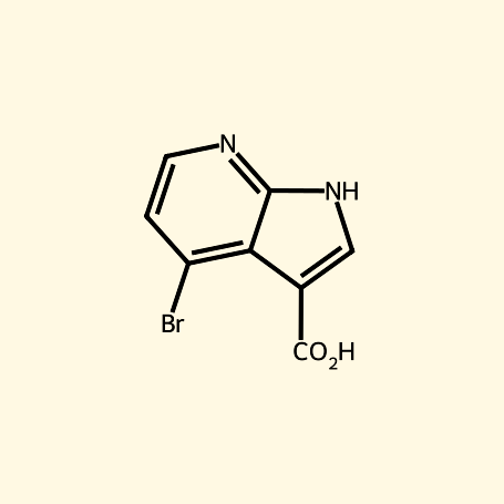 O=C(O)c1c[nH]c2nccc(Br)c12